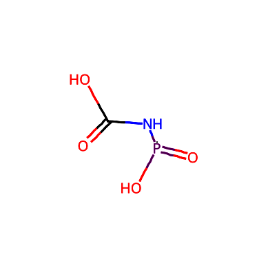 O=C(O)N[P](=O)O